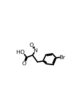 O=NC(Cc1ccc(Br)cc1)C(=O)O